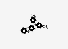 Cc1ccc(N(c2ccc(C)cc2)c2ccc(Oc3ccccc3)cc2)cc1